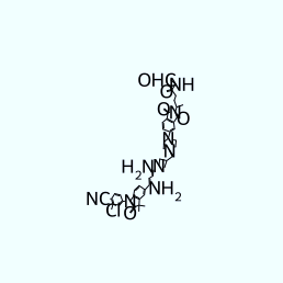 CC(CCC(=O)NC=O)N1C(=O)c2ccc(N3CCN(CC4CN(/C(N)=C/C=C(\N)c5ccc6c(c5)C(C)(C)C(=O)N6c5ccc(C#N)c(Cl)c5)C4)CC3)cc2C1=O